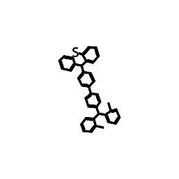 Cc1ccccc1C(c1ccc(-c2ccc(C3c4ccccc4Sc4ccccc43)cc2)cc1)c1ccccc1C